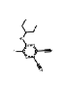 CCC(CC)Nc1nc(C#N)c(C#N)nc1Cl